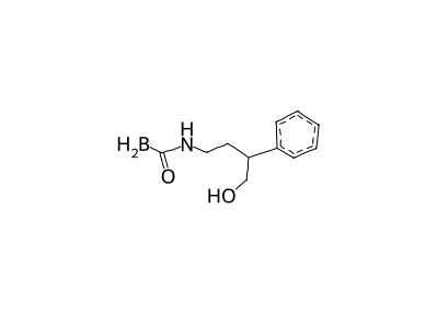 BC(=O)NCCC(CO)c1ccccc1